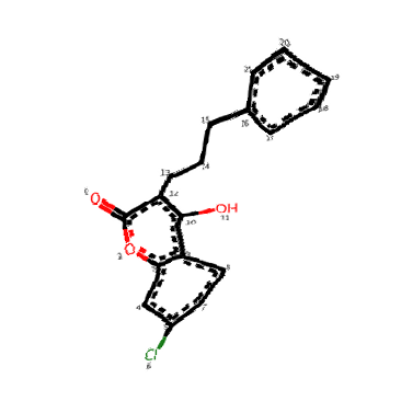 O=c1oc2cc(Cl)ccc2c(O)c1CCCc1ccccc1